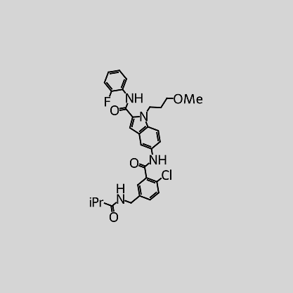 COCCCn1c(C(=O)Nc2ccccc2F)cc2cc(NC(=O)c3cc(CNC(=O)C(C)C)ccc3Cl)ccc21